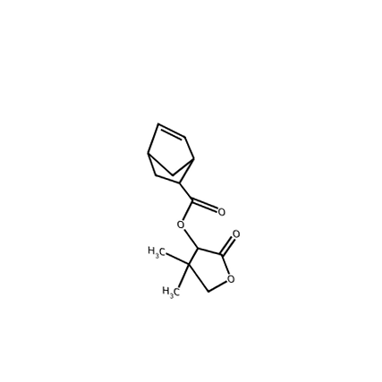 CC1(C)COC(=O)C1OC(=O)C1CC2C=CC1C2